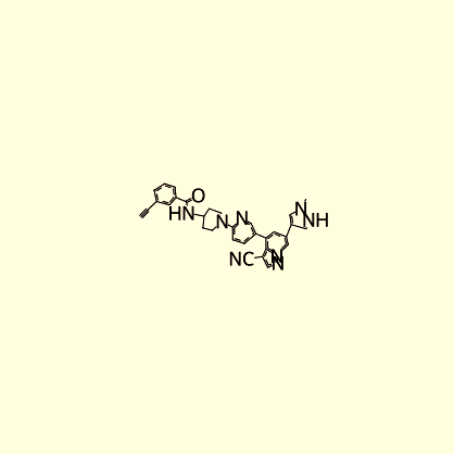 C#Cc1cccc(C(=O)NC2CCN(c3ccc(-c4cc(C5=CN(C)NC5)cn5ncc(C#N)c45)cn3)CC2)c1